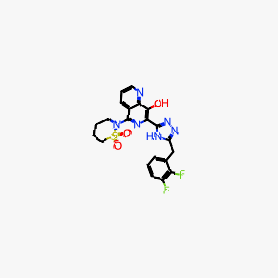 O=S1(=O)CCCCN1c1nc(-c2nnc(Cc3cccc(F)c3F)[nH]2)c(O)c2ncccc12